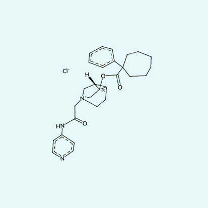 O=C(C[N+]12CCC(CC1)[C@@H](OC(=O)C1(c3ccccc3)CCCCCC1)C2)Nc1ccncc1.[Cl-]